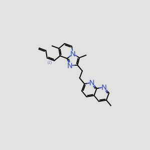 C=C/C=C\c1c(C)ccn2c(C)c(CCc3ccc4cc(C)cnc4n3)nc12